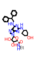 CCNC(=O)[C@H]1O[C@@H](n2cnc3c(NCC(c4ccccc4)c4ccccc4)nc(N[C@H]4CC[C@@H](O)CC4)nc32)[C@H](O)[C@@H]1O